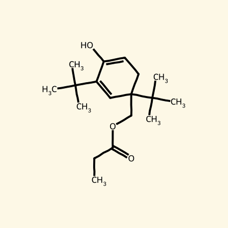 CCC(=O)OCC1(C(C)(C)C)C=C(C(C)(C)C)C(O)=CC1